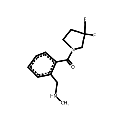 CNCc1ccccc1C(=O)N1CCC(F)(F)C1